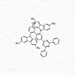 CC(C)(C)c1ccc2c(c1)c1cc(C(C)(C)C)ccc1n2-c1ccc(C#N)cc1-c1ccc(-c2nc(-c3ccccc3)nc(-c3ccccc3)n2)cc1-n1c2ccc(C(C)(C)C)cc2c2cc(C(C)(C)C)ccc21